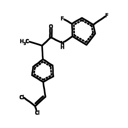 CC(C(=O)Nc1ccc(F)cc1F)c1ccc(C=C(Cl)Cl)cc1